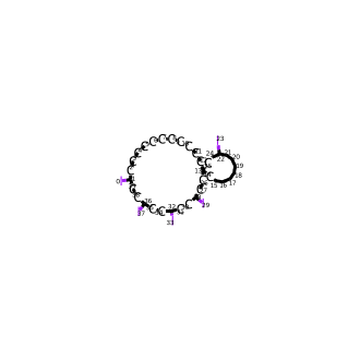 IC1CCCCCCCCCCCC2(CCCCCCCCC(I)CC2)CCC(I)CCC(I)CCC(I)CC1